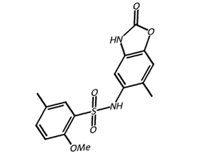 COc1ccc(C)cc1S(=O)(=O)Nc1cc2[nH]c(=O)oc2cc1C